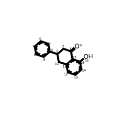 O=C1CC(c2ccccc2)Cc2cccc(O)c21